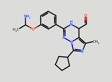 Cc1nc(C2CCCC2)n2c1C(C=O)NC(c1cccc(OC(C)N)c1)=N2